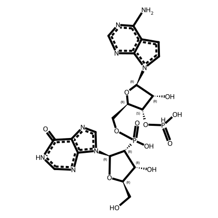 Nc1ncnc2c1ccn2[C@@H]1O[C@H](COP(=O)(O)[C@@H]2[C@H](O)[C@@H](CO)O[C@H]2n2cnc3c(=O)[nH]cnc32)[C@@H](O[PH](=O)O)[C@H]1O